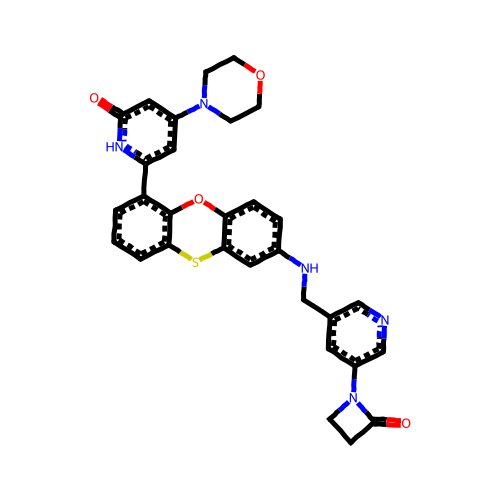 O=C1CCN1c1cncc(CNc2ccc3c(c2)Sc2cccc(-c4cc(N5CCOCC5)cc(=O)[nH]4)c2O3)c1